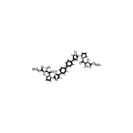 CC(C)C(NC(=O)OC(C)(C)C)C(=O)N1CC=C[C@H]1c1nc(-c2ccc(-c3ccc(-c4cnc([C@@H]5C=CCN5C(=O)[C@@H](NC(=O)OC(C)(C)C)C(C)C)[nH]4)cc3)cc2)c[nH]1